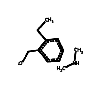 CCc1ccccc1CCl.CNC